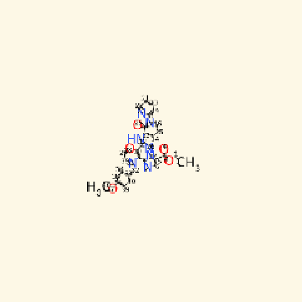 CCOC(=O)c1cnc2c3c(c(Nc4cccn(-c5ccccn5)c4=O)nn12)OCCN3Cc1ccc(OC)cc1